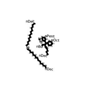 CCCCCCCCCCCCCC#CC(C(=C=[N+]=[N-])CCCC)=C(c1cccc(CCCCC)c1)c1cccc(CCCCCCCC)c1.CCCCCCCCCCCCCCCCCCCCCCC[CH2][Ni][CH2]CCCCCCCCCCCCCCCCCCCCCCC